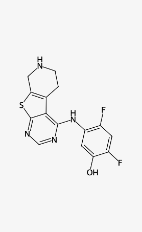 Oc1cc(Nc2ncnc3sc4c(c23)CCNC4)c(F)cc1F